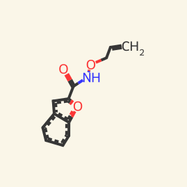 C=CCONC(=O)c1cc2ccccc2o1